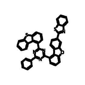 c1ccc(-c2nc(-c3cccc4oc5cc(-c6nc7ccccc7s6)ccc5c34)nc(-c3cccc4sc5ccccc5c34)n2)cc1